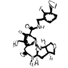 CCN1C(=O)c2c(O)c(=O)c(C(=O)NCc3cccc(Cl)c3F)cn2N2[C@H]3COC[C@H]3C[C@@H]12